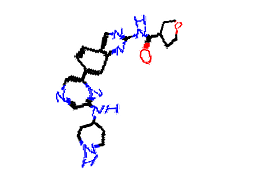 O=C(Nc1ncc2ccc(-c3cncc(NC4CCNCC4)n3)cc2n1)C1CCOCC1